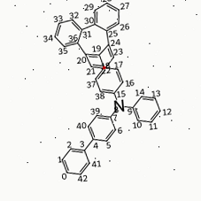 c1ccc(-c2ccc(N(c3ccccc3)c3ccc(-c4c5cccc4-c4ccccc4-c4ccccc4-5)cc3)cc2)cc1